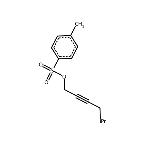 Cc1ccc(S(=O)(=O)OCC#CCC(C)C)cc1